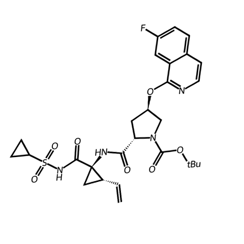 C=C[C@@H]1C[C@]1(NC(=O)[C@@H]1C[C@@H](Oc2nccc3ccc(F)cc23)CN1C(=O)OC(C)(C)C)C(=O)NS(=O)(=O)C1CC1